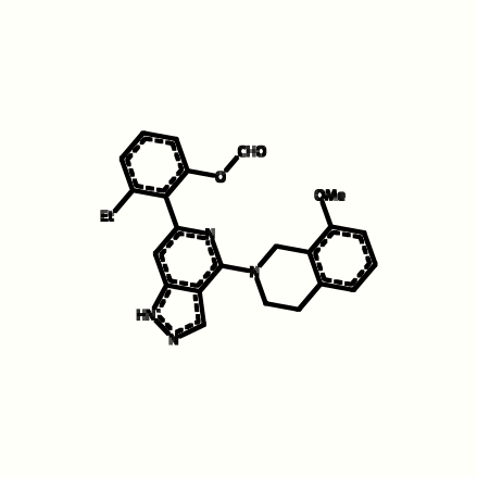 CCc1cccc(OC=O)c1-c1cc2[nH]ncc2c(N2CCc3cccc(OC)c3C2)n1